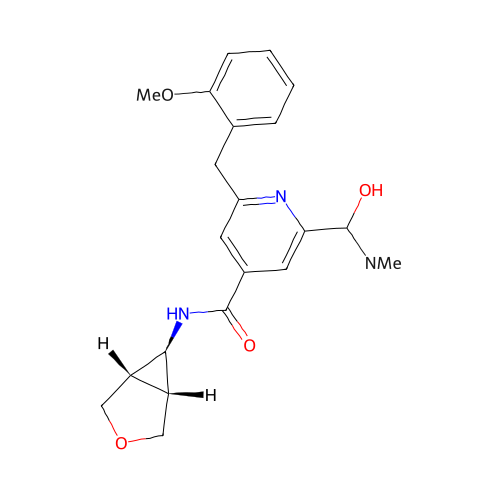 CNC(O)c1cc(C(=O)N[C@H]2[C@@H]3COC[C@@H]32)cc(Cc2ccccc2OC)n1